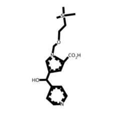 C[Si](C)(C)CCOCn1cc(C(O)c2ccncc2)cc1C(=O)O